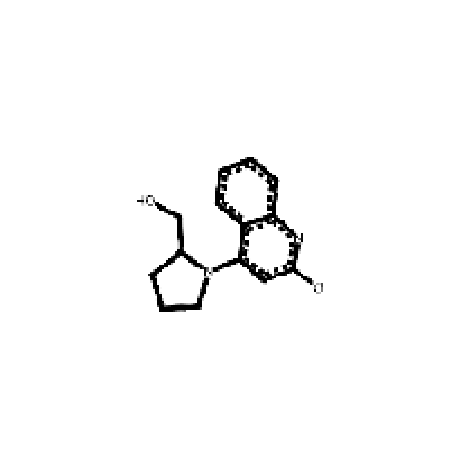 OCC1CCCN1c1cc(Cl)nc2ccccc12